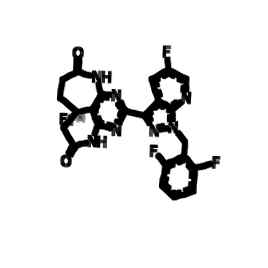 CC[C@@]12CCC(=O)Nc3nc(-c4nn(Cc5c(F)cccc5F)c5ncc(F)cc45)nc(c31)NC(=O)C2